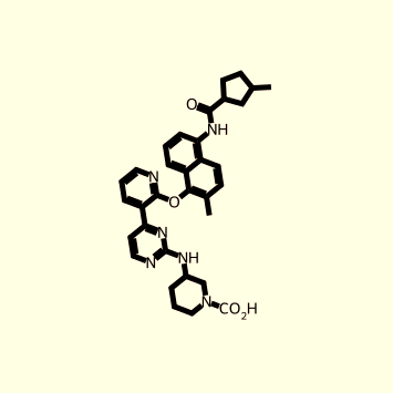 Cc1ccc2c(NC(=O)C3CCC(C)C3)cccc2c1Oc1ncccc1-c1ccnc(NC2CCCN(C(=O)O)C2)n1